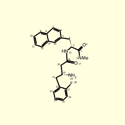 CNC(=O)[C@@H](Cc1ccc2ccccc2c1)NC(=O)C[C@H](N)Cc1ccccc1F